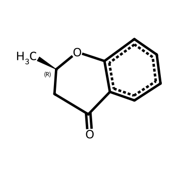 C[C@@H]1CC(=O)c2ccccc2O1